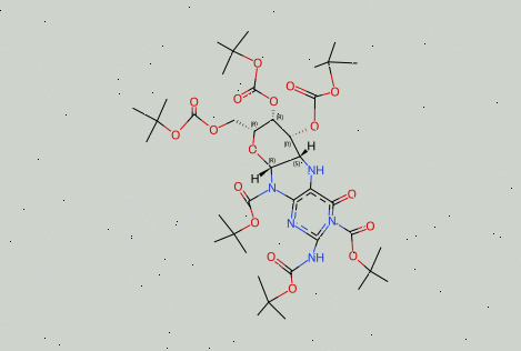 CC(C)(C)OC(=O)Nc1nc2c(c(=O)n1C(=O)OC(C)(C)C)N[C@H]1[C@@H](OC(=O)OC(C)(C)C)[C@@H](OC(=O)OC(C)(C)C)[C@@H](COC(=O)OC(C)(C)C)O[C@H]1N2C(=O)OC(C)(C)C